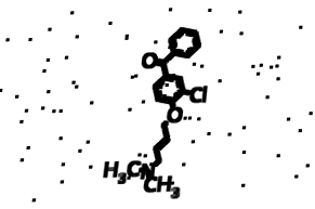 CN(C)CC=CCOc1ccc(C(=O)c2ccccc2)cc1Cl